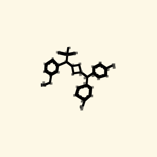 CS(=O)(=O)C(c1cccc(CO)c1)C1CN(C(c2ccc(Cl)cc2)c2ccc(Cl)cc2)C1